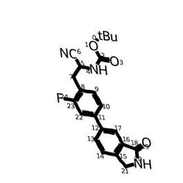 CC(C)(C)OC(=O)NC(C#N)Cc1ccc(-c2ccc3c(c2)C(=O)NC3)cc1F